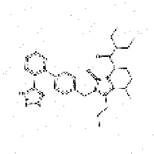 CCCc1c(Cc2ccc(-c3ccccc3-c3nnn[nH]3)cc2)c(=O)n2n1C(C)CCC2C(=O)N(CC)CC